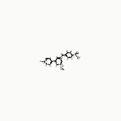 C[n+]1ccc(-c2ccc[n+](Cc3ccc([N+](=O)[O-])cc3)c2)cc1.[Br-].[Br-]